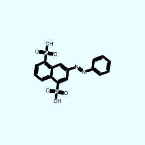 O=S(=O)(O)c1cc(N=Nc2ccccc2)cc2c(S(=O)(=O)O)cccc12